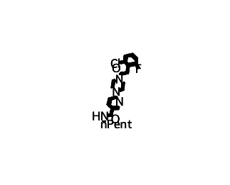 CCCCCNC(=O)c1ccc(N2CCN(C(=O)Cc3c(F)cccc3Cl)CC2)nc1